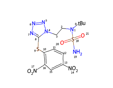 CC(C)(C)N(CCn1nnnc1Sc1ccc([N+](=O)[O-])cc1[N+](=O)[O-])S(N)(=O)=O